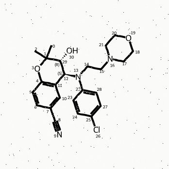 CC1(C)Oc2ccc(C#N)cc2[C@H](N(CCN2CCOCC2)c2ccc(Cl)cc2)[C@H]1O